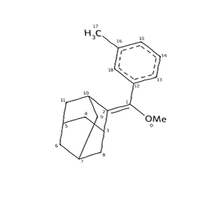 COC(=C1C2CC3CC(C2)CC1C3)c1cccc(C)c1